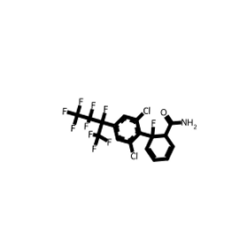 NC(=O)C1C=CC=CC1(F)c1c(Cl)cc(C(F)(C(F)(F)F)C(F)(F)C(F)(F)F)cc1Cl